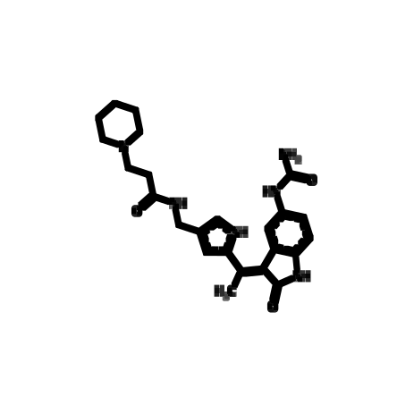 C/C(=C1\C(=O)Nc2ccc(NC(N)=O)cc21)c1cc(CNC(=O)CCN2CCCCC2)c[nH]1